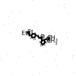 CCN(CC)Cc1ccc(C=CC(=O)c2ccccc2CN(C)C)cc1